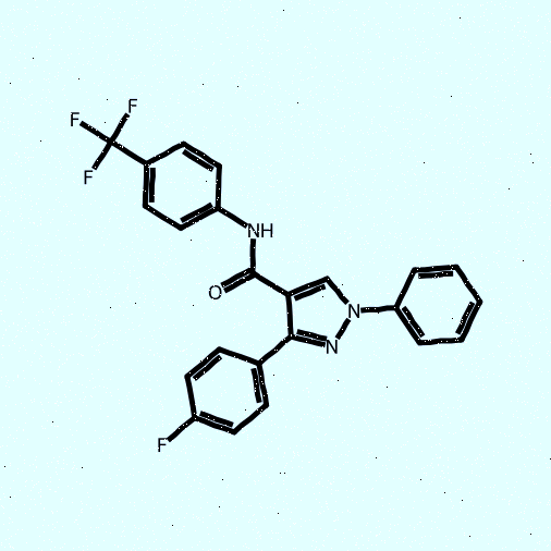 O=C(Nc1ccc(C(F)(F)F)cc1)c1cn(-c2ccccc2)nc1-c1ccc(F)cc1